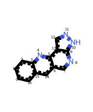 c1ccc2nc3c(cnc4[nH]ncc43)cc2c1